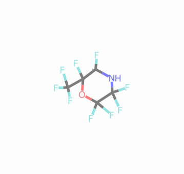 F[C]1NC(F)(F)C(F)(F)OC1(F)C(F)(F)F